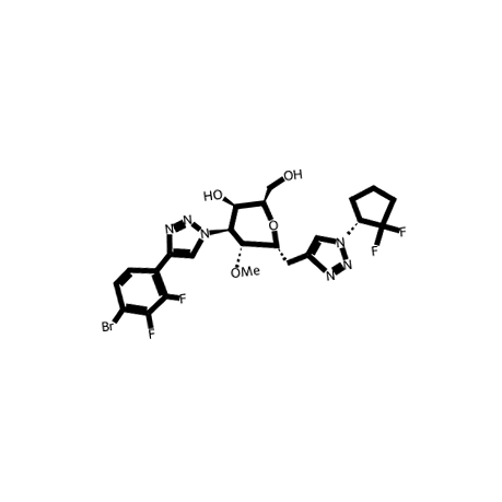 CO[C@@H]1[C@@H](n2cc(-c3ccc(Br)c(F)c3F)nn2)[C@@H](O)[C@@H](CO)O[C@@H]1Cc1cn([C@@H]2CCCC2(F)F)nn1